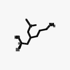 CC[C@@H](O)CC(CCCN)CN(C)C